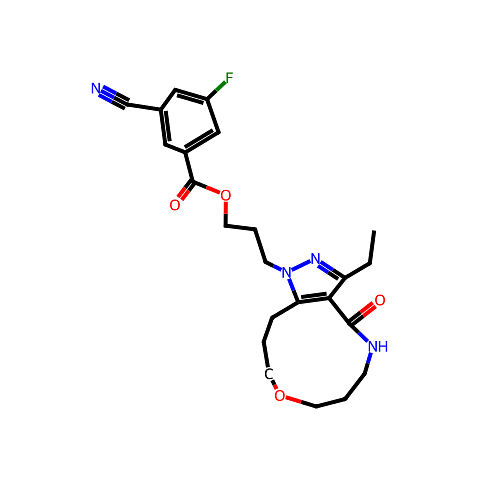 CCc1nn(CCCOC(=O)c2cc(F)cc(C#N)c2)c2c1C(=O)NCCCOCCC2